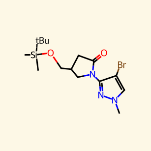 Cn1cc(Br)c(N2CC(CO[Si](C)(C)C(C)(C)C)CC2=O)n1